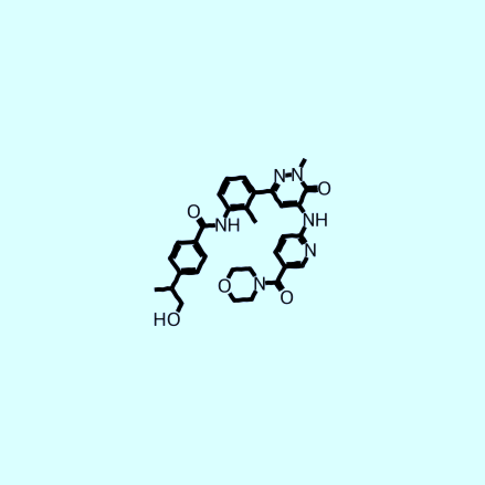 Cc1c(NC(=O)c2ccc(C(C)CO)cc2)cccc1-c1cc(Nc2ccc(C(=O)N3CCOCC3)cn2)c(=O)n(C)n1